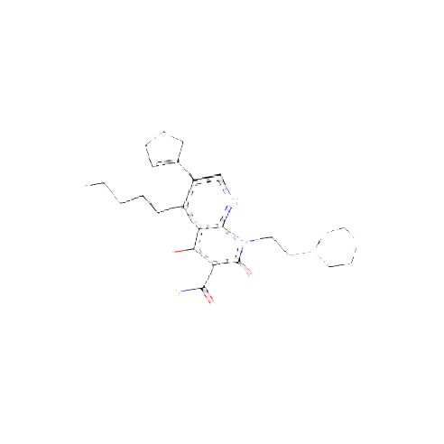 CCCCCc1c(C2=CCCC2)cnc2c1c(O)c(C(N)=O)c(=O)n2CCN1CCOCC1